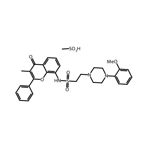 COc1ccccc1N1CCN(CCS(=O)(=O)Nc2cccc3c(=O)c(C)c(-c4ccccc4)oc23)CC1.CS(=O)(=O)O